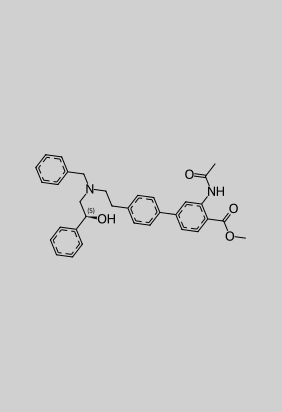 COC(=O)c1ccc(-c2ccc(CCN(Cc3ccccc3)C[C@@H](O)c3ccccc3)cc2)cc1NC(C)=O